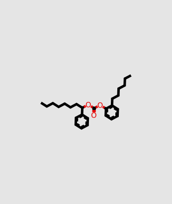 CCCCCCCC(OC(=O)Oc1ccccc1CCCCCC)c1ccccc1